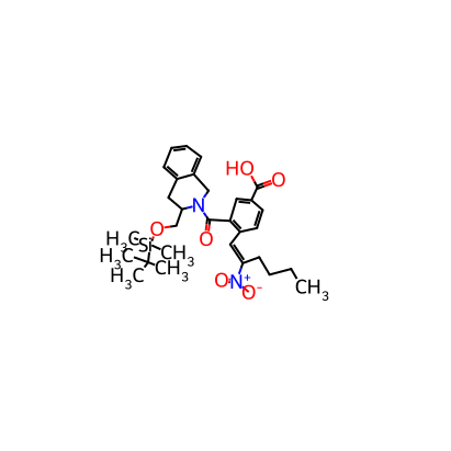 CCCC/C(=C\c1ccc(C(=O)O)cc1C(=O)N1Cc2ccccc2CC1CO[Si](C)(C)C(C)(C)C)[N+](=O)[O-]